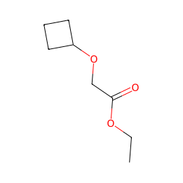 CCOC(=O)COC1CCC1